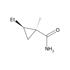 CC[C@@H]1C[C@]1(C)C(N)=O